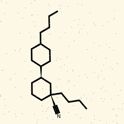 CCCCC1CCC([C@@H]2CCC[C@@](C#N)(CCCC)C2)CC1